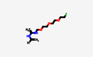 C=C(CC)NC(=C)NCOCCOCCOCCF